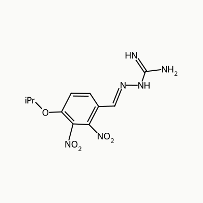 CC(C)Oc1ccc(/C=N/NC(=N)N)c([N+](=O)[O-])c1[N+](=O)[O-]